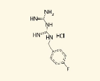 Cl.N=C(N)NC(=N)NCc1ccc(F)cc1